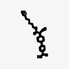 CCCCCCCCOC(=O)C(C#N)=C1C=CN(c2ccc(C(=O)O)cc2)C=C1